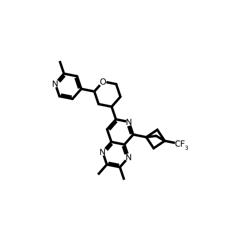 Cc1cc(C2CC(c3cc4nc(C)c(C)nc4c(C45CC(C(F)(F)F)(C4)C5)n3)CCO2)ccn1